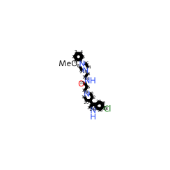 COc1ccccc1N1CCN(CCNC(=O)CCN2CCC(c3c[nH]c4cc(Cl)ccc34)CC2)CC1